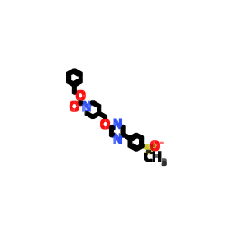 C[S+]([O-])c1ccc(-c2cnc(OCC3CCN(C(=O)OCc4ccccc4)CC3)cn2)cc1